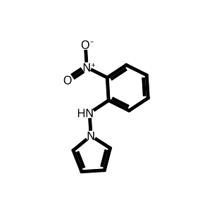 O=[N+]([O-])c1ccccc1Nn1cccc1